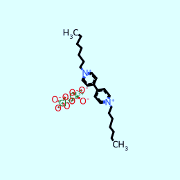 CCCCCCC[n+]1ccc(-c2cc[n+](CCCCCCC)cc2)cc1.[O-][Cl+3]([O-])([O-])[O-].[O-][Cl+3]([O-])([O-])[O-]